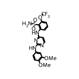 COc1ccc(Nc2nccc(Nc3cccc(OC(F)(F)F)c3S(N)(=O)=O)n2)cc1OC